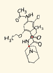 CCOC(=O)CN1C2CCCC1CC(NC(=O)c1cc(Cl)c(NC(C)=O)cc1OCC)C2